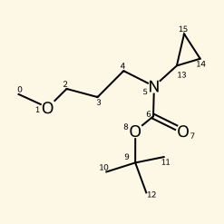 COCCCN(C(=O)OC(C)(C)C)C1CC1